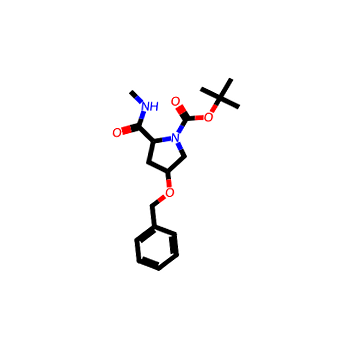 CNC(=O)C1CC(OCc2ccccc2)CN1C(=O)OC(C)(C)C